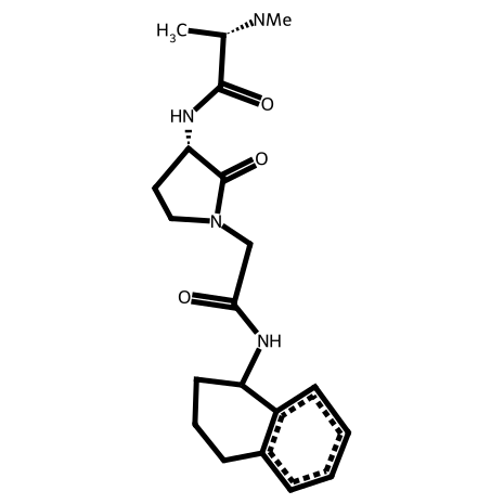 CN[C@@H](C)C(=O)N[C@H]1CCN(CC(=O)NC2CCCc3ccccc32)C1=O